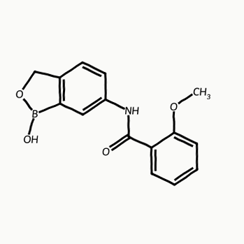 COc1ccccc1C(=O)Nc1ccc2c(c1)B(O)OC2